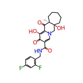 C[C@]12CCCCC[C@]1(O)Cn1cc(C(=O)NCc3ccc(F)cc3F)c(=O)c(O)c1C2=O